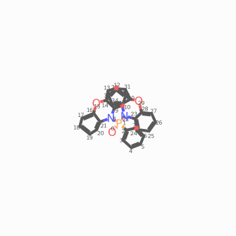 O=P(c1ccccc1)(N1c2ccccc2Oc2ccccc21)N1c2ccccc2Oc2ccccc21